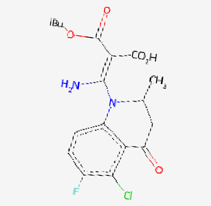 CCC(C)OC(=O)C(C(=O)O)=C(N)N1c2ccc(F)c(Cl)c2C(=O)CC1C